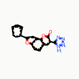 O=c1oc2c(ccc3oc(-c4ccccc4)cc32)cc1-c1nnn[nH]1